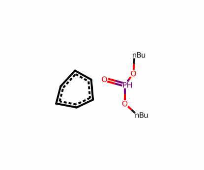 CCCCO[PH](=O)OCCCC.c1ccccc1